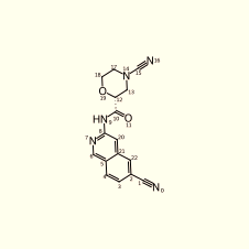 N#Cc1ccc2cnc(NC(=O)[C@H]3CN(C#N)CCO3)cc2c1